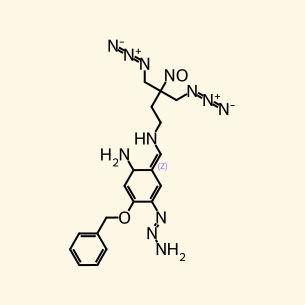 [N-]=[N+]=NCC(CCN/C=C1/C=C(N=NN)C(OCc2ccccc2)=CC1N)(CN=[N+]=[N-])N=O